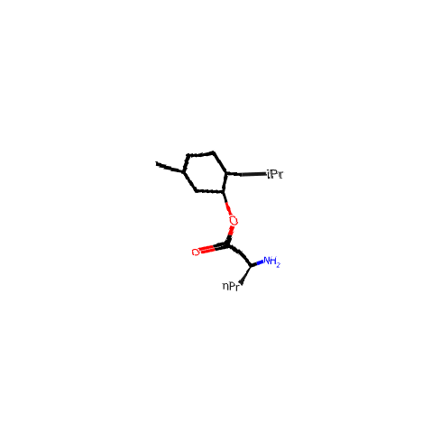 CCC[C@H](N)C(=O)OC1CC(C)CCC1C(C)C